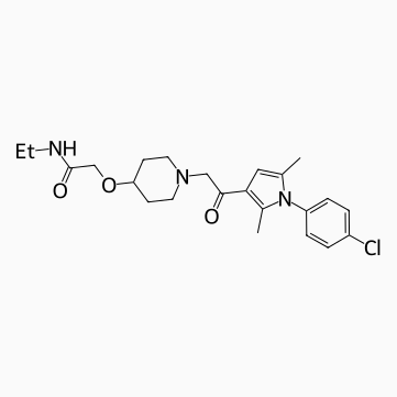 CCNC(=O)COC1CCN(CC(=O)c2cc(C)n(-c3ccc(Cl)cc3)c2C)CC1